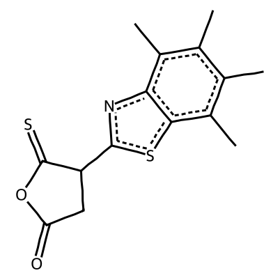 Cc1c(C)c(C)c2sc(C3CC(=O)OC3=S)nc2c1C